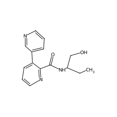 CCC(CO)NC(=O)c1ncccc1-c1cccnc1